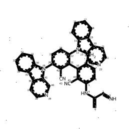 C=C(C=N)Nc1ccc(N)c(-c2c(-n3c4ccccc4c4ccncc43)ccc(-n3c4ccccc4c4ccncc43)c2C#N)c1C#N